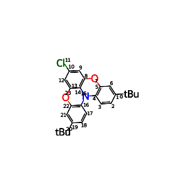 CC(C)(C)c1ccc2c(c1)Oc1cc(Cl)cc3c1N2c1ccc(C(C)(C)C)cc1O3